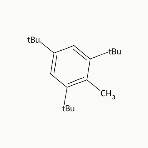 Cc1c(C(C)(C)C)cc(C(C)(C)C)cc1C(C)(C)C